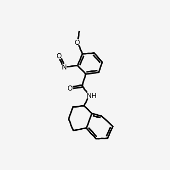 COc1cccc(C(=O)NC2CCCc3ccccc32)c1N=O